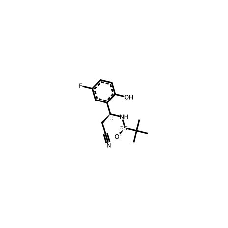 CC(C)(C)[S@@+]([O-])N[C@@H](CC#N)c1cc(F)ccc1O